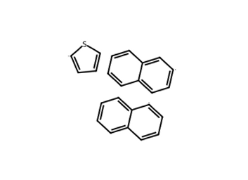 [c]1ccc2ccccc2c1.[c]1cccc2ccccc12.[c]1cccs1